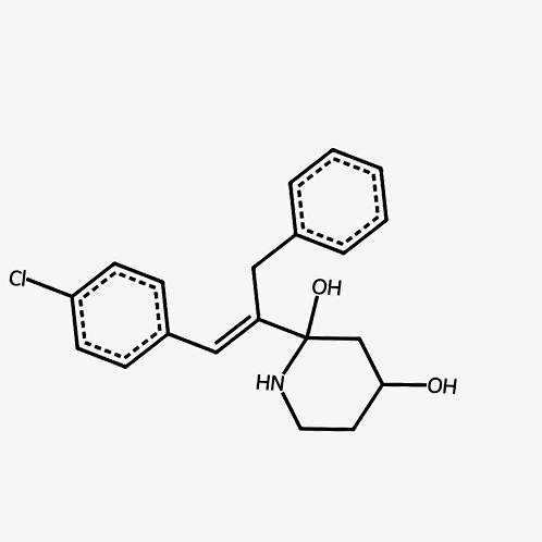 OC1CCNC(O)(C(=Cc2ccc(Cl)cc2)Cc2ccccc2)C1